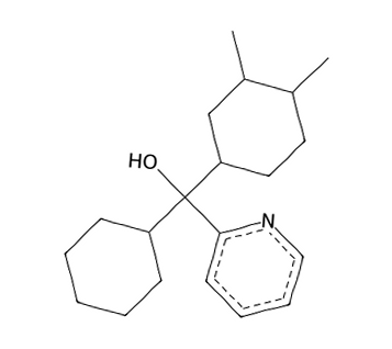 CC1CCC(C(O)(c2ccccn2)C2CCCCC2)CC1C